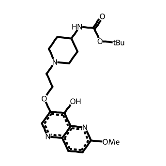 COc1ccc2ncc(OCCN3CCC(NC(=O)OC(C)(C)C)CC3)c(O)c2n1